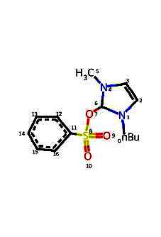 CCCCN1C=CN(C)C1OS(=O)(=O)c1ccccc1